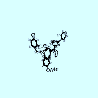 COc1ccc2c(c1)c(C(=O)c1noc(-c3ccncc3)n1)c(C(F)(F)F)n2Cc1ccc(Cl)cc1